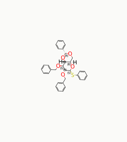 c1ccc(CO[C@@H]2[C@@H](OCc3ccccc3)[C@H](Sc3ccccc3)O[C@@H]3CO[C@@H](c4ccccc4)O[C@@H]23)cc1